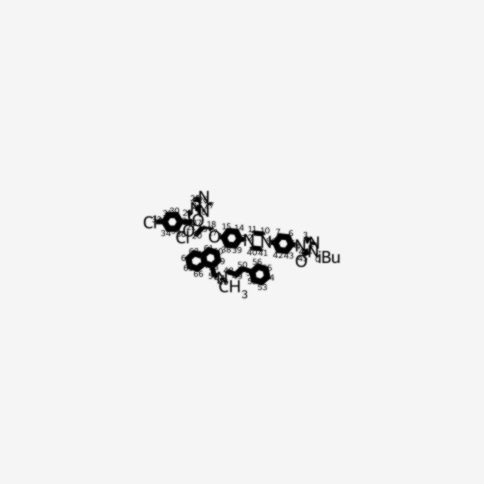 CCC(C)n1ncn(-c2ccc(N3CCN(c4ccc(OC[C@H]5CO[C@](Cn6cncn6)(c6ccc(Cl)cc6Cl)O5)cc4)CC3)cc2)c1=O.CN(C/C=C/c1ccccc1)Cc1cccc2ccccc12